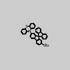 CC(C)(C)c1ccc2c(c1)C1(c3ccccc3-c3ccccc31)c1cc(N3c4ccccc4Sc4ccccc43)ccc1-2